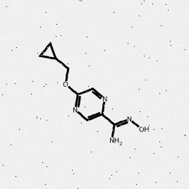 NC(=NO)c1cnc(OCC2CC2)cn1